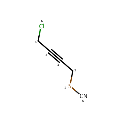 N#CSCC#CCCl